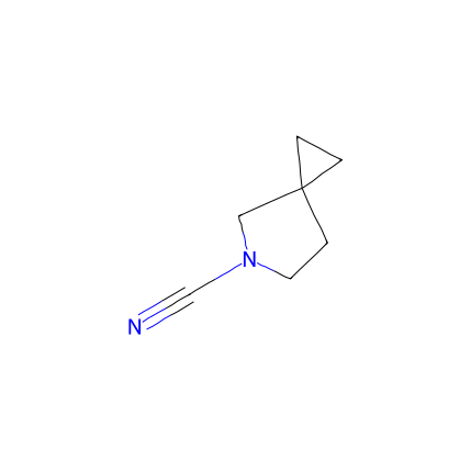 N#CN1CCC2(CC2)C1